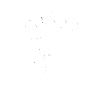 NCCCC[C@H](N)C(=O)NC[C@@H](CC1(C(=O)NC2(CO)Cc3ccccc3C2)CCCC1)C(=O)O